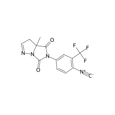 [C-]#[N+]c1ccc(N2C(=O)N3N=CCC3(C)C2=O)cc1C(F)(F)F